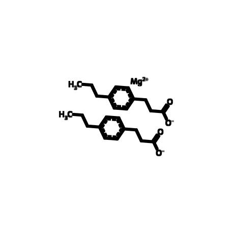 CCCc1ccc(CCC(=O)[O-])cc1.CCCc1ccc(CCC(=O)[O-])cc1.[Mg+2]